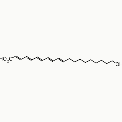 O=C(O)C=CC=CC=CC=CC=CCCCCCCCCCO